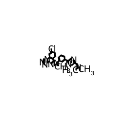 CN(C)Cc1cnc(-c2cccc(N(C)c3nc4nncn4c4cc(Cl)ccc34)c2)cn1